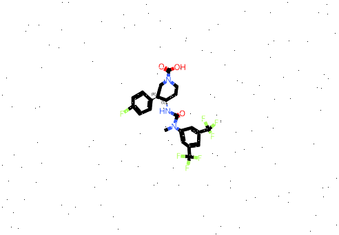 CN(C(=O)N[C@H]1CCN(C(=O)O)C[C@H]1c1ccc(F)cc1)c1cc(C(F)(F)F)cc(C(F)(F)F)c1